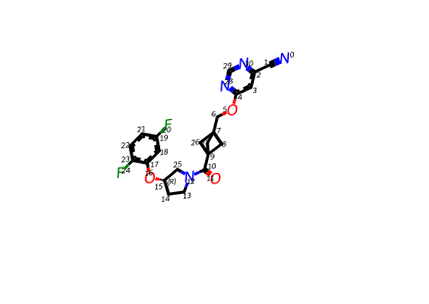 N#Cc1cc(OCC23CC(C(=O)N4CC[C@@H](Oc5cc(F)ccc5F)C4)(C2)C3)ncn1